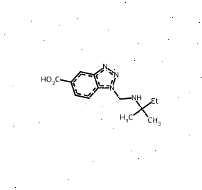 CCC(C)(C)NCn1nnc2cc(C(=O)O)ccc21